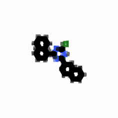 Clc1nc(-c2ccc3ccccc3c2)nc(-c2cccc3ccccc23)n1